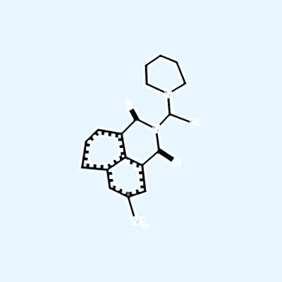 CCC(N1CCCCC1)N1C(=O)c2cccc3cc(N)cc(c23)C1=O